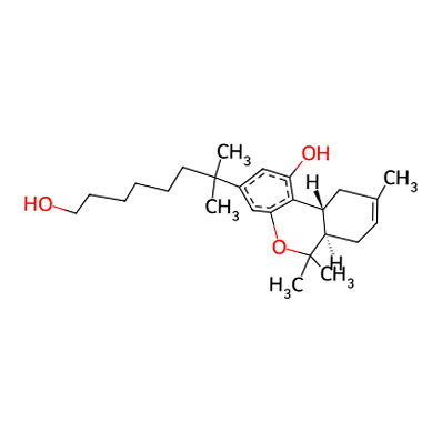 CC1=CC[C@@H]2[C@@H](C1)c1c(O)cc(C(C)(C)CCCCCCO)cc1OC2(C)C